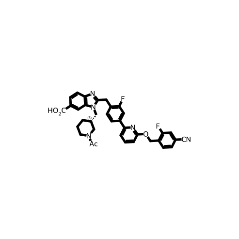 CC(=O)N1CCC[C@H](Cn2c(Cc3ccc(-c4cccc(OCc5ccc(C#N)cc5F)n4)cc3F)nc3ccc(C(=O)O)cc32)C1